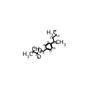 C=C(C)C(=O)OCc1ccc(C(C)CCC)cc1